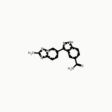 Cc1nc2ccc(-c3n[nH]c4ccc(C(N)=O)cc34)cn2n1